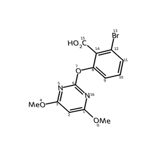 COc1cc(OC)nc(Oc2cccc(Br)c2C(=O)O)n1